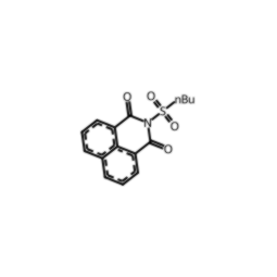 CCCCS(=O)(=O)N1C(=O)c2cccc3cccc(c23)C1=O